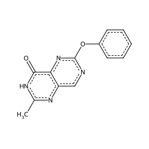 Cc1nc2cnc(Oc3ccccc3)nc2c(=O)[nH]1